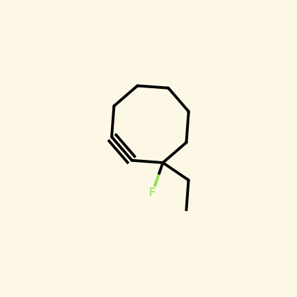 CCC1(F)C#CCCCCC1